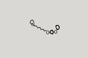 c1ccc(Oc2ccc(OCCCCCCCCN3CCCCC3)cc2)cc1